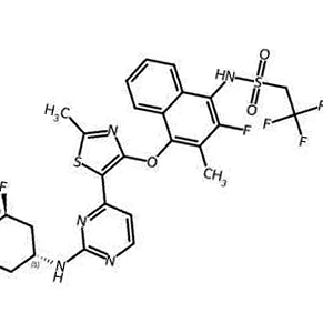 Cc1nc(Oc2c(C)c(F)c(NS(=O)(=O)CC(F)(F)F)c3ccccc23)c(-c2ccnc(N[C@@H]3CNC[C@@H](F)C3)n2)s1